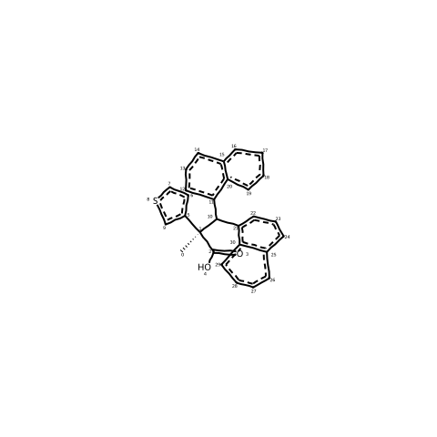 C[C@](C(=O)O)(c1ccsc1)C(c1cccc2ccccc12)c1cccc2ccccc12